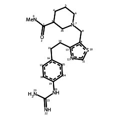 CNC(=O)C1CCCN(Cc2scnc2CCc2ccc(NC(=N)N)cc2)C1